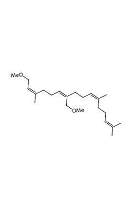 COCC=C(C)CCC=C(CCC=C(C)CCC=C(C)C)COC